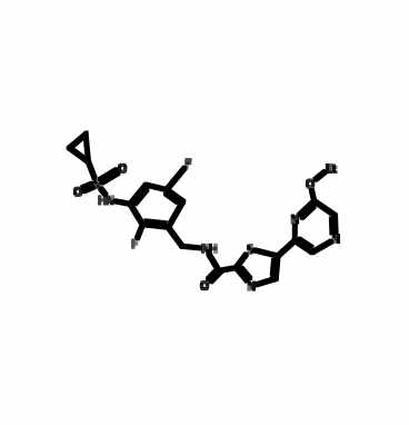 CCOc1cncc(-c2cnc(C(=O)NCc3cc(F)cc(NS(=O)(=O)C4CC4)c3F)s2)n1